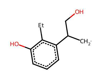 [CH2]C(CO)c1cccc(O)c1CC